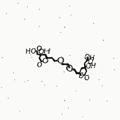 O=C(O)CC1(O)CC(=O)OC(CCOCCOCCC2CC(O)(CC(=O)O)CC(=O)O2)C1